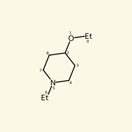 CCOC1CCN(CC)CC1